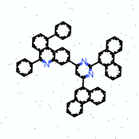 c1ccc(-c2nc3cc(-c4cc(-c5cc6ccccc6c6ccccc56)nc(-c5cc6ccccc6c6ccccc56)n4)ccc3c3c(-c4ccccc4)cccc23)cc1